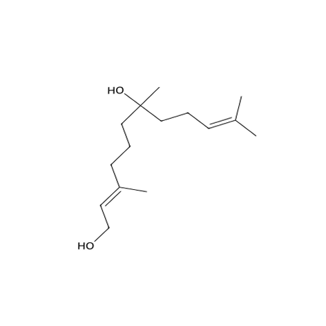 CC(C)=CCCC(C)(O)CCC/C(C)=C/CO